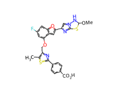 COC1Nn2cc(-c3cc4c(OCc5nc(-c6ccc(C(=O)O)cc6)sc5C)cc(F)cc4o3)nc2S1